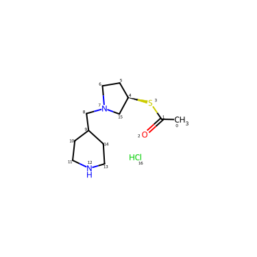 CC(=O)S[C@@H]1CCN(CC2CCNCC2)C1.Cl